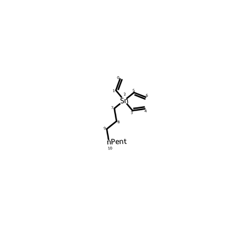 C=[CH][Sn]([CH]=C)([CH]=C)[CH2]CCCCCCC